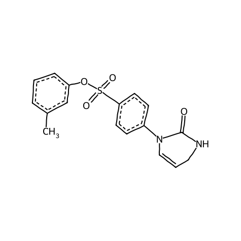 Cc1cccc(OS(=O)(=O)c2ccc(N3C=CCNC3=O)cc2)c1